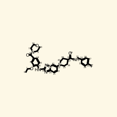 CCOc1cc(C(=O)N2CCOCC2)ccc1Nc1nc2ccc(N3CCC(C(=O)NCc4ccc(F)cc4)CC3)cn2n1